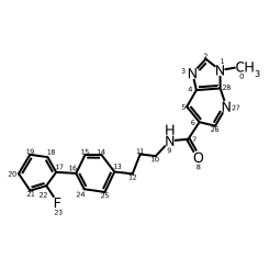 Cn1cnc2cc(C(=O)NCCCc3ccc(-c4ccccc4F)cc3)cnc21